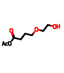 CC(=O)OC(=O)CCCOCCO